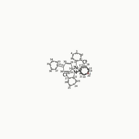 Clc1ccccc1N(c1ccccc1)C1(N(c2ccccc2)c2ccccc2Cl)C=CC(c2ccccc2)C=C1